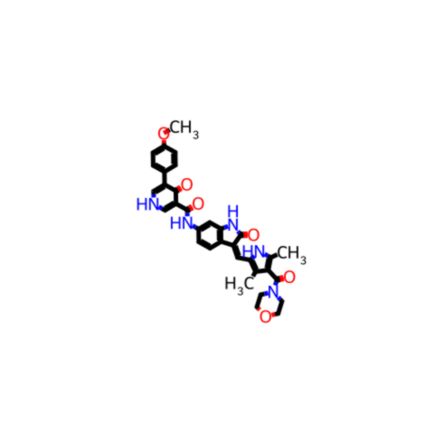 COc1ccc(-c2c[nH]cc(C(=O)Nc3ccc4c(c3)NC(=O)/C4=C\c3[nH]c(C)c(C(=O)N4CCOCC4)c3C)c2=O)cc1